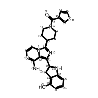 Nc1nccn2c(C3CCN(C(=O)c4ccsc4)CC3)nc(C3Cc4c(O)cccc4N3)c12